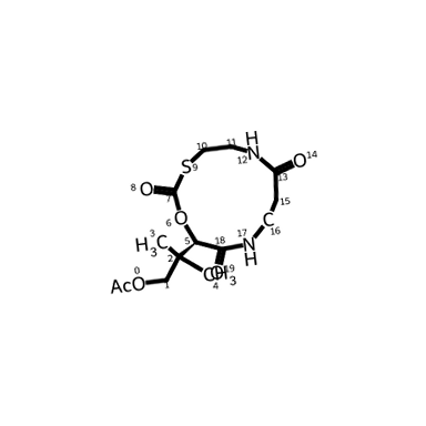 CC(=O)OCC(C)(C)[C@H]1OC(=O)SCCNC(=O)CCNC1=O